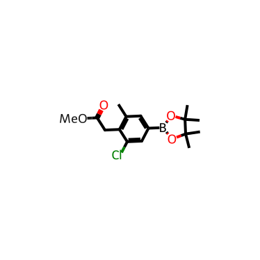 COC(=O)Cc1c(C)cc(B2OC(C)(C)C(C)(C)O2)cc1Cl